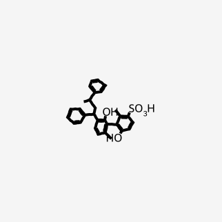 Cc1ccc(C(CC(C)c2ccccc2)c2ccccc2)c(O)c1-c1c(O)ccc(S(=O)(=O)O)c1C